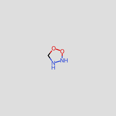 C1NNOO1